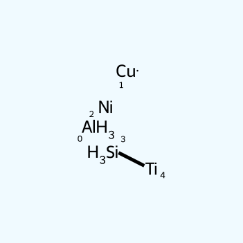 [AlH3].[Cu].[Ni].[SiH3][Ti]